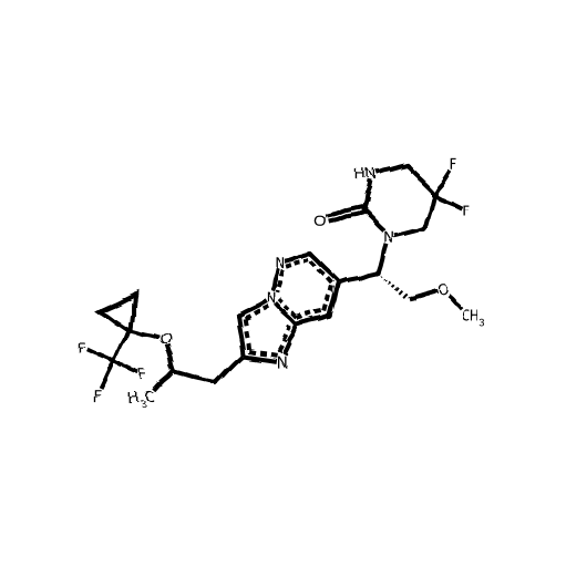 COC[C@H](c1cnn2cc(CC(C)OC3(C(F)(F)F)CC3)nc2c1)N1CC(F)(F)CNC1=O